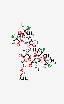 C=CCOCCOC(=O)C(C)(COC(=O)C(C)(COC(=O)C(C)(C)Br)COC(=O)C(C)(C)Br)COC(=O)C(C)(COC(=O)C(C)(C)Br)COC(O)C(C)(C)Br